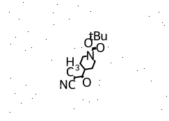 CC(C#N)C(=O)C1CCN(C(=O)OC(C)(C)C)CC1